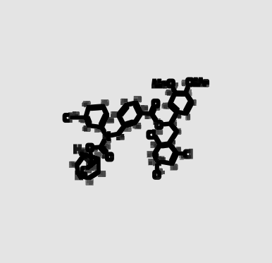 COc1ccc(C(Cc2c(Cl)c[n+]([O-])cc2Cl)OC(=O)c2cccc(CN(C(=O)O[C@H]3CN4CCC3CC4)c3cccc(Cl)c3)c2)cc1OC